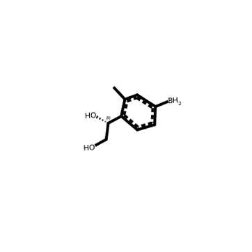 Bc1ccc([C@@H](O)CO)c(C)c1